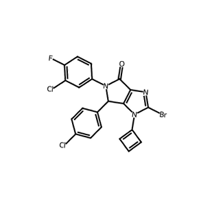 O=C1c2nc(Br)n(C3=CC=C3)c2C(c2ccc(Cl)cc2)N1c1ccc(F)c(Cl)c1